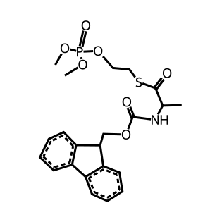 COP(=O)(OC)OCCSC(=O)C(C)NC(=O)OCC1c2ccccc2-c2ccccc21